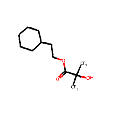 O=C(OCCC1CCCCC1)C(O)(C(F)(F)F)C(F)(F)F